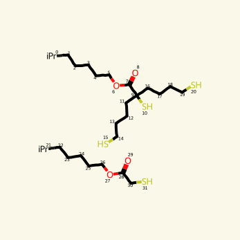 CC(C)CCCCCOC(=O)C(S)(CCCCS)CCCCS.CC(C)CCCCCOC(=O)CS